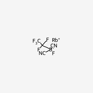 N#C[B-](F)(C#N)C(F)(F)C(F)(F)F.[Rb+]